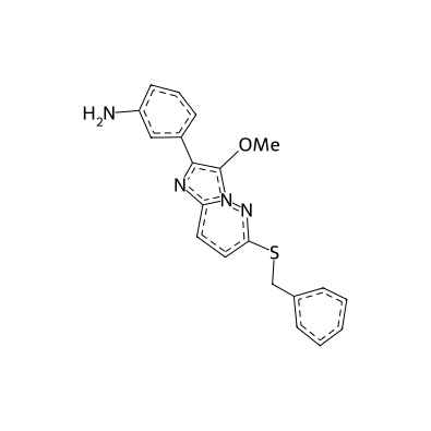 COc1c(-c2cccc(N)c2)nc2ccc(SCc3ccccc3)nn12